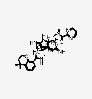 CN(C[C@@H]1NC(=N)N2C[C@H](NC(=O)c3cccc4c3OCCC4(C)C)C(O)(O)[C@@]23NC(=N)N[C@@H]13)C(=O)c1ncccn1